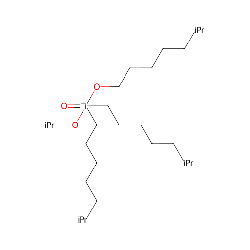 CC(C)CCCCC[O][Ti](=[O])([CH2]CCCCC(C)C)([CH2]CCCCC(C)C)[O]C(C)C